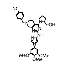 COc1cc(-n2cnc(Nc3nc4c(c(N5CCCC5CO)n3)CCN(Cc3ccc(C#N)cc3)C4)c2)cc(OC)c1OC